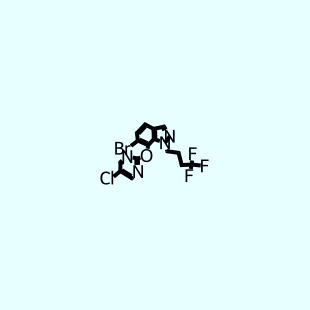 FC(F)(F)CCCn1ncc2ccc(Br)c(Oc3ncc(Cl)cn3)c21